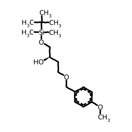 COc1ccc(COCC[C@@H](O)CO[Si](C)(C)C(C)(C)C)cc1